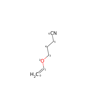 C=COCCCC#N